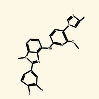 COc1nc(Nc2cccc3c2nc(-c2ccc(F)c(F)c2)n3C)ccc1-n1cnc(C)c1